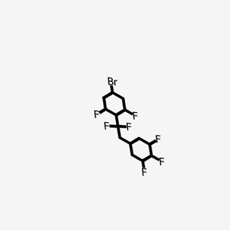 FC1CC(CC(F)(F)C2C(F)CC(Br)CC2F)CC(F)C1F